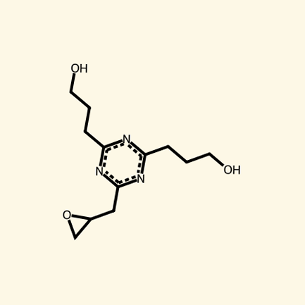 OCCCc1nc(CCCO)nc(CC2CO2)n1